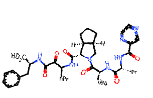 CCCC(NC(=O)[C@@H]1[C@H]2CCC[C@H]2CN1C(=O)[C@@H](NC(=O)[C@H](NC(=O)c1cnccn1)C(C)C)C(C)(C)C)C(=O)C(=O)N[C@@H](Cc1ccccc1)C(=O)O